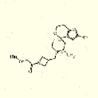 CCc1cc2c(s1)CCO[C@@]21CCN(CC2CN(C(=O)COC(C)(C)C)C2)[C@@H](C)C1